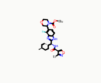 CCc1nocc1C(=O)N[C@H](c1nc2c(F)c(C3COCCN3C(=O)OC(C)(C)C)ccc2[nH]1)[C@H]1CC[C@H](C)CC1